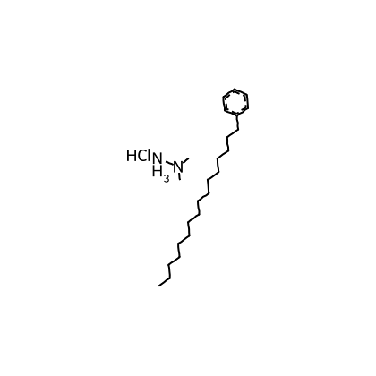 CCCCCCCCCCCCCCCCc1ccccc1.CN(C)C.Cl.N